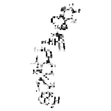 O=C(O)c1ccc(-c2ccc3c(c2)CC[C@H](CNC[C@H](O)COc2ccccc2Cl)O3)cc1